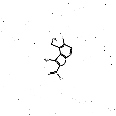 CCc1c(Cl)ccc2sc(C(=O)O)c(C)c12